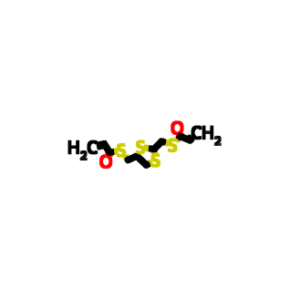 C=CC(=O)SCC1CSC(CSC(=O)C=C)S1